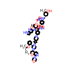 CC(C)Oc1ccccc1[C@H]1CN([C@H]2CCOc3c2ccnc3N2CCOCC2)CCN1C1CC2(CCN(c3ccc(C(=O)NS(=O)(=O)c4ccc(NC[C@H]5CC[C@](C)(O)CC5)c([N+](=O)[O-])c4)c(N4c5cc6cc[nH]c6nc5O[C@H]5COCC[C@@H]54)c3)CC2)C1